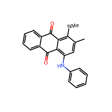 CNc1c(C)cc(Nc2ccccc2)c2c1C(=O)c1ccccc1C2=O